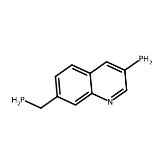 PCc1ccc2cc(P)cnc2c1